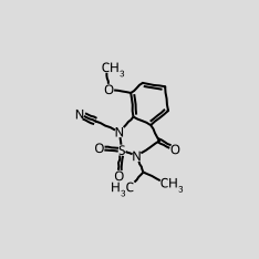 COc1cccc2c1N(C#N)S(=O)(=O)N(C(C)C)C2=O